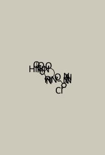 COC(=O)Nc1ccc2c(c1)NC(=O)CCCCC(NC(=O)C=Cc1cc(Cl)ccc1-n1cnnn1)c1cc-2ccn1